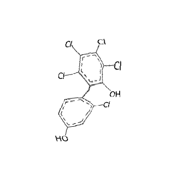 Oc1ccc(-c2c(O)c(Cl)c(Cl)c(Cl)c2Cl)c(Cl)c1